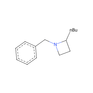 CCCCC1CCN1Cc1ccccc1